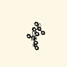 c1ccc(-c2cc(-c3cccc4oc5c(-c6nc(-c7ccccc7)nc(-c7ccc8c(c7)oc7ccccc78)n6)cccc5c34)c3c(c2)oc2ccccc23)cc1